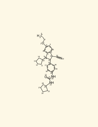 CCOc1ccc2c(c1)N(C1CCCC1)C(c1ccc(NC(=O)NC3CCCC3)cc1)C2C#N